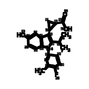 Cc1cc(-n2c(C(C)C)c([C@@H]3C[C@H]3C(=O)O)c3cc(O)ccc32)ccc1F